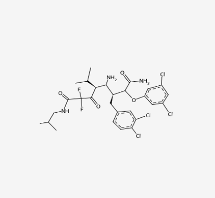 CC(C)CNC(=O)C(F)(F)C(=O)[C@@H](C(C)C)C(N)[C@H](Cc1ccc(Cl)c(Cl)c1)C(Oc1cc(Cl)cc(Cl)c1)C(N)=O